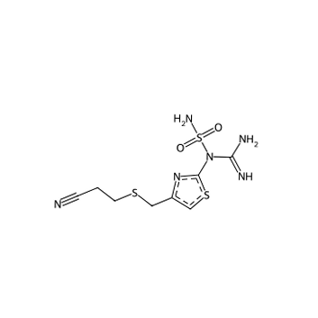 N#CCCSCc1csc(N(C(=N)N)S(N)(=O)=O)n1